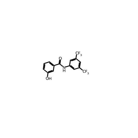 O=C(Nc1cc(C(F)(F)F)cc(C(F)(F)F)c1)c1cccc(O)c1